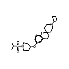 CC(C)S(=O)(=O)N1CCC(Oc2ccc3c(c2)CCC2(CCN(C4CCC4)CC2)O3)CC1